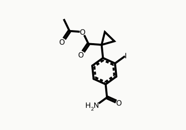 CC(=O)OC(=O)C1(c2ccc(C(N)=O)cc2I)CC1